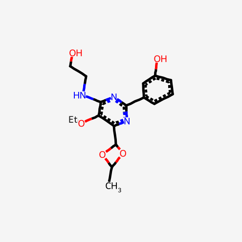 CCOc1c(NCCO)nc(-c2cccc(O)c2)nc1C1OC(C)O1